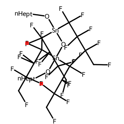 CCCCCCC[O][Sn]([O][Sn]([O]CCCCCCC)([C](F)(F)C(F)(F)C(F)(F)CF)[C](F)(F)C(F)(F)C(F)(F)CF)([C](F)(F)C(F)(F)C(F)(F)CF)[C](F)(F)C(F)(F)C(F)(F)CF